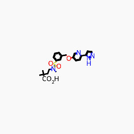 CN(CCC(C)(C)C(=O)O)S(=O)(=O)c1cccc(COc2ccc(-c3ccn[nH]3)nc2)c1